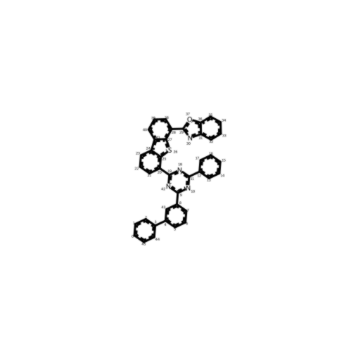 c1ccc(-c2cccc(-c3nc(-c4ccccc4)nc(-c4cccc5c4sc4c(-c6nc7ccccc7o6)cccc45)n3)c2)cc1